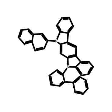 c1ccc(-c2ccccc2-n2c3ccccc3c3cc4c5ccccc5n(-c5ccc6ccccc6c5)c4cc32)cc1